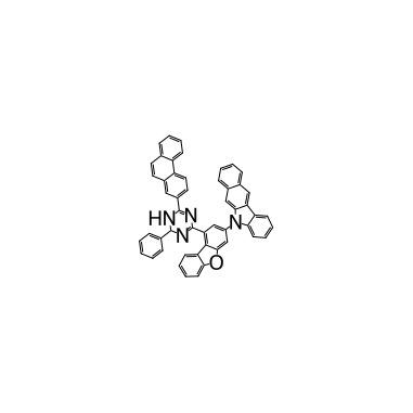 c1ccc(C2N=C(c3cc(-n4c5ccccc5c5cc6ccccc6cc54)cc4oc5ccccc5c34)N=C(c3ccc4c(ccc5ccccc54)c3)N2)cc1